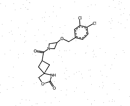 O=C1NC2(CO1)CC(C(=O)N1CC(OCc3ccc(Cl)c(Cl)c3)C1)C2